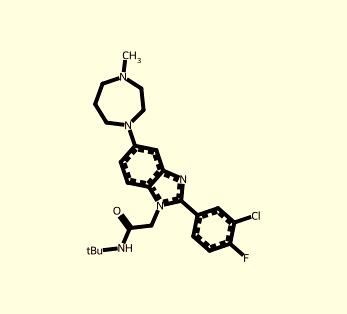 CN1CCCN(c2ccc3c(c2)nc(-c2ccc(F)c(Cl)c2)n3CC(=O)NC(C)(C)C)CC1